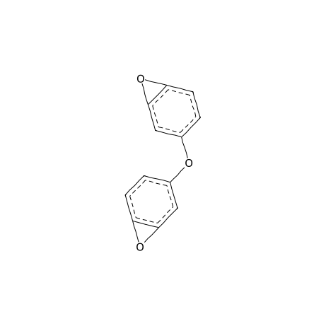 c1cc2c(cc1Oc1ccc3c(c1)O3)O2